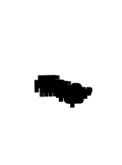 CCC(C)(C)C(=O)OC(F)(F)OC(F)(F)C(F)(F)OC(F)(F)C(F)(F)C(F)(F)C(F)(F)F